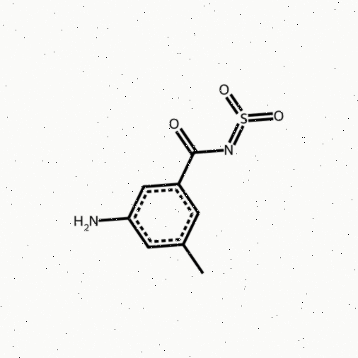 Cc1cc(N)cc(C(=O)N=S(=O)=O)c1